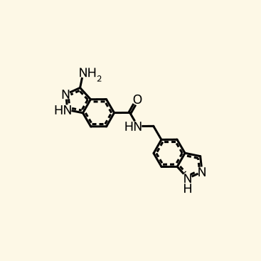 Nc1n[nH]c2ccc(C(=O)NCc3ccc4[nH]ncc4c3)cc12